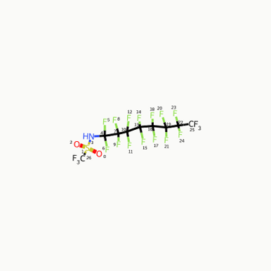 O=S(=O)(NC(F)(F)C(F)(F)C(F)(F)C(F)(F)C(F)(F)C(F)(F)C(F)(F)C(F)(F)F)C(F)(F)F